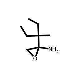 CCC(C)(CC)C1(N)CO1